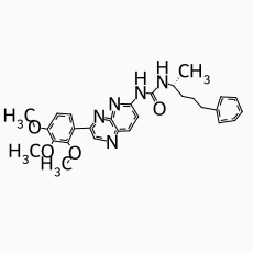 COc1ccc(-c2cnc3ccc(NC(=O)N[C@H](C)CCCc4ccccc4)nc3n2)c(OC)c1OC